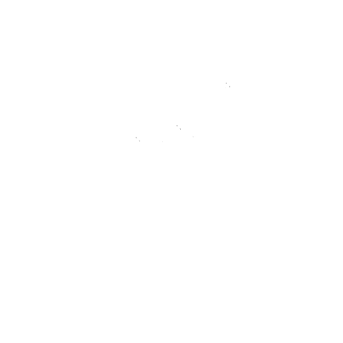 O=C(NC(=S)Nc1cccc(OC2Cc3ccccc3C2)c1)c1cccnc1